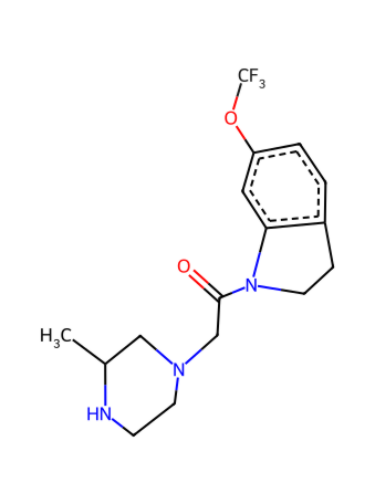 CC1CN(CC(=O)N2CCc3ccc(OC(F)(F)F)cc32)CCN1